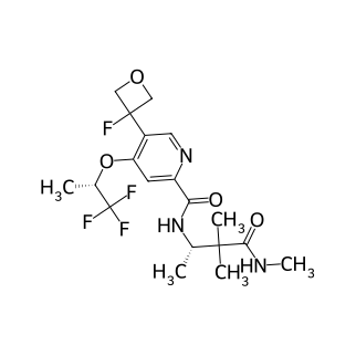 CNC(=O)C(C)(C)[C@H](C)NC(=O)c1cc(O[C@@H](C)C(F)(F)F)c(C2(F)COC2)cn1